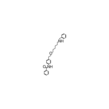 O=C(Nc1ccc(CCOCCCCCCNCc2ccccc2)cc1)c1ccccc1